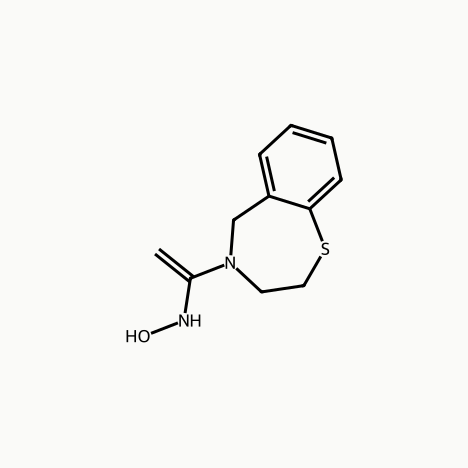 C=C(NO)N1CCSc2ccccc2C1